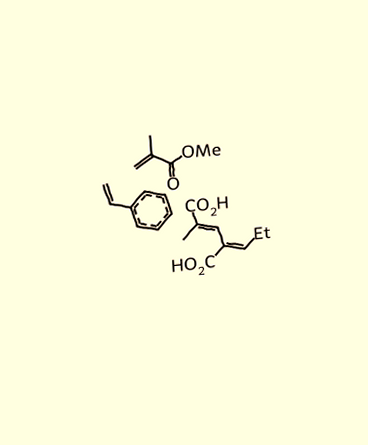 C=C(C)C(=O)OC.C=Cc1ccccc1.CCC=C(C=C(C)C(=O)O)C(=O)O